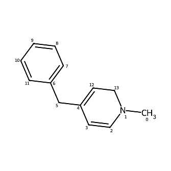 CN1C=CC(Cc2ccccc2)=CC1